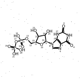 O=c1[nH]c(=O)c2ncn([C@H]3O[C@@H](COP(=O)(O)OP(=O)(O)O)C(O)C3O)c2[nH]1